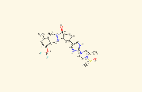 Cc1ccc(OC(F)F)c(Cn2c3cc(-c4cnc(N5CCN([S+](C)[O-])[C@@H](C)C5)nc4)ccc3c(=O)n2C)c1